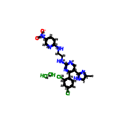 Cc1c[nH]c(-c2cnc(NCCNc3ccc([N+](=O)[O-])cn3)nc2-c2ccc(Cl)cc2Cl)n1.Cl.Cl